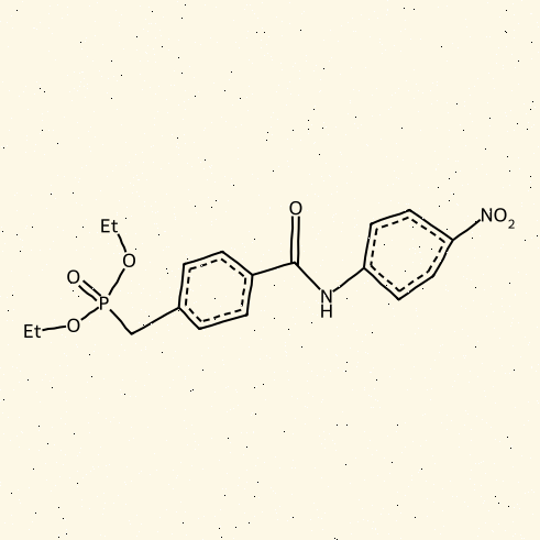 CCOP(=O)(Cc1ccc(C(=O)Nc2ccc([N+](=O)[O-])cc2)cc1)OCC